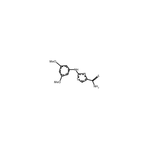 COc1cc(Nc2nc(C(N)=S)cs2)cc(OC)c1